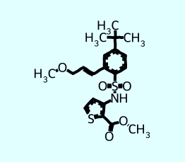 COCC=Cc1cc(C(C)(C)C)ccc1S(=O)(=O)Nc1ccsc1C(=O)OC